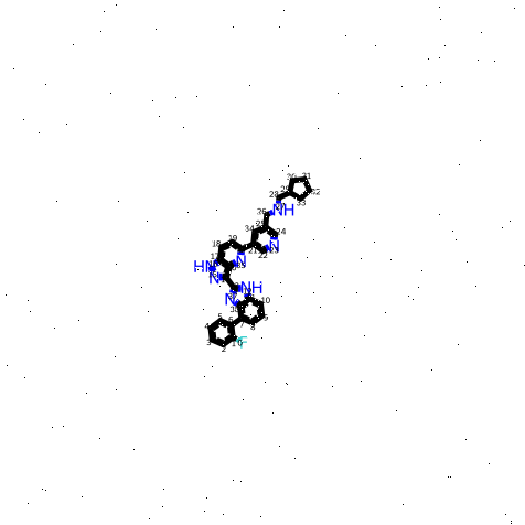 Fc1ccccc1-c1cccc2[nH]c(-c3n[nH]c4ccc(-c5cncc(CNCC6CCCC6)c5)nc34)nc12